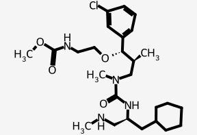 CNC[C@H](CC1CCCCC1)NC(=O)N(C)C[C@H](C)[C@H](OCCNC(=O)OC)c1cccc(Cl)c1